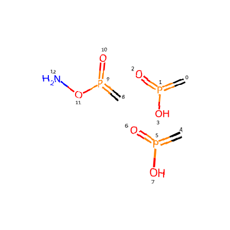 C=P(=O)O.C=P(=O)O.C=P(=O)ON